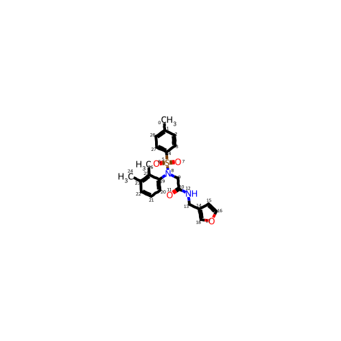 Cc1ccc(S(=O)(=O)N(CC(=O)NCc2ccoc2)c2cccc(C)c2C)cc1